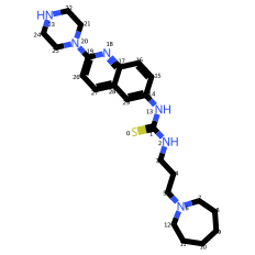 S=C(NCCCN1CCCCCC1)Nc1ccc2nc(N3CCNCC3)ccc2c1